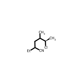 CCC(C#N)CC(C)[C@@H](C)Cl